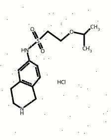 CC(C)OCCS(=O)(=O)Nc1ccc2c(c1)CCNC2.Cl